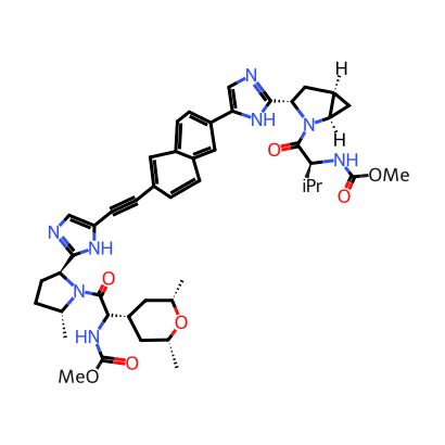 COC(=O)NC(C(=O)N1[C@H](C)CC[C@H]1c1ncc(C#Cc2ccc3cc(-c4cnc([C@@H]5C[C@H]6C[C@H]6N5C(=O)[C@@H](NC(=O)OC)C(C)C)[nH]4)ccc3c2)[nH]1)[C@H]1C[C@@H](C)O[C@@H](C)C1